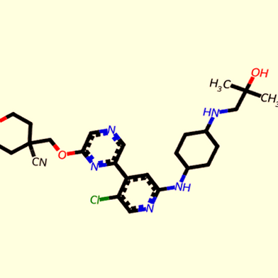 CC(C)(O)CNC1CCC(Nc2cc(-c3cncc(OCC4(C#N)CCOCC4)n3)c(Cl)cn2)CC1